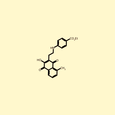 CCOC(=O)c1ccc(NCCC2=C(O)C(=O)c3cccc(C)c3C2=O)cc1